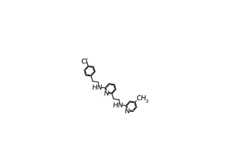 Cc1ccnc(NCCc2cccc(NCCc3ccc(Cl)cc3)n2)c1